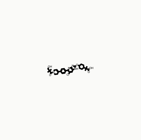 CC(C)(CO)C(=O)N1CC=C(c2ccc(-c3nc4nc(OC5CCC(C(C)(C)C(=O)O)CC5)[nH]c4cc3Cl)cc2)CC1